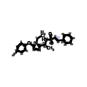 CCn1c(Oc2ccc(F)cc2)nnc1[C@@H](C)NS(=O)(=O)/C=C/c1ccccc1